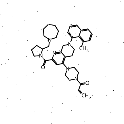 C=CC(=O)N1CCN(c2cc(C(=O)N3CCCC3CN3CCCCCC3)nc3c2CCN(c2cccc4cccc(C)c24)C3)CC1